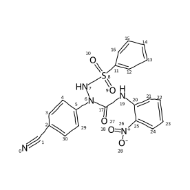 N#Cc1ccc(N(NS(=O)(=O)c2ccccc2)C(=O)Nc2ccccc2[N+](=O)[O-])cc1